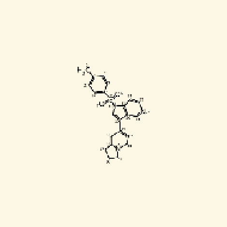 Cc1ccc(S(=O)(=O)n2cc(C3=CCN4CCCC4C3)c3cnccc32)cc1